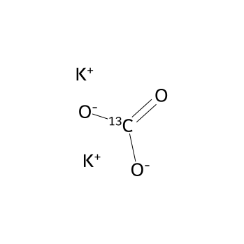 O=[13C]([O-])[O-].[K+].[K+]